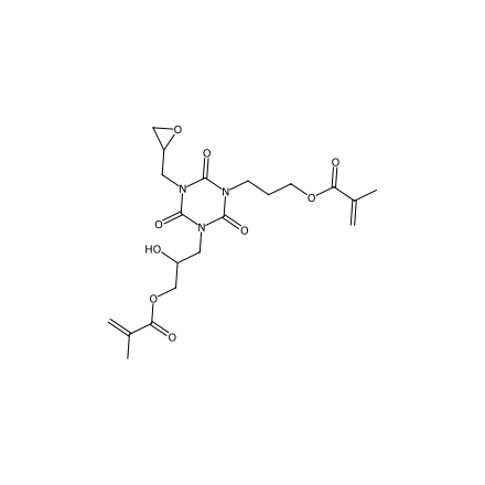 C=C(C)C(=O)OCCCn1c(=O)n(CC(O)COC(=O)C(=C)C)c(=O)n(CC2CO2)c1=O